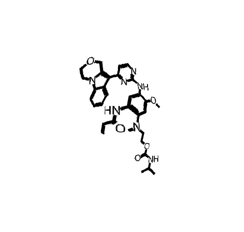 C=CC(=O)Nc1cc(Nc2nccc(-c3c4n(c5ccccc35)CCOC4)n2)c(OC)cc1N(C)CCOC(=O)NC(C)C